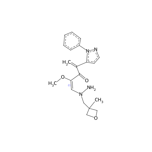 C=C(C(=O)/C(=C\N(N)CC1(C)COC1)OC)c1ccnn1-c1ccccc1